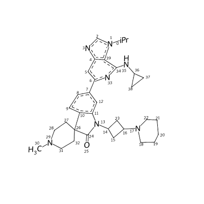 CC(C)n1cnc2cc(-c3ccc4c(c3)N(C3CC(N5CCCCC5)C3)C(=O)C43CCN(C)CC3)nc(NC3CC3)c21